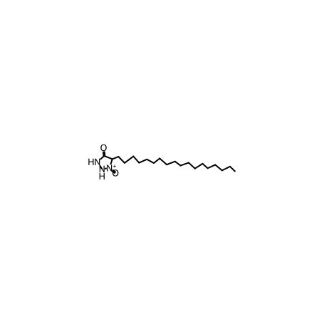 CCCCCCCCCCCCCCCCCCC1C(=O)NN[N+]1=O